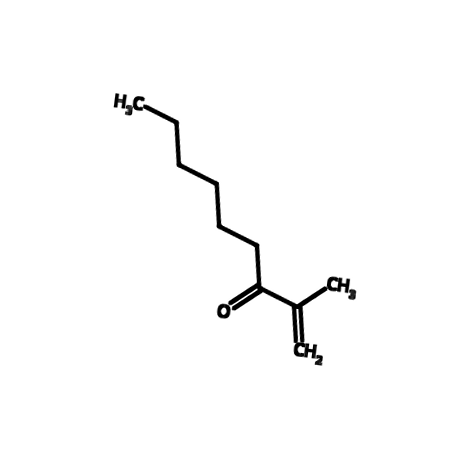 C=C(C)C(=O)CCCCCC